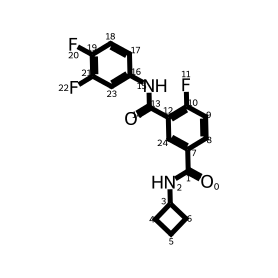 O=C(NC1CCC1)c1ccc(F)c(C(=O)Nc2ccc(F)c(F)c2)c1